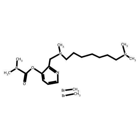 CBr.CBr.CN(C)CCCCCCCN(C)Cc1ncccc1OC(=O)N(C)C